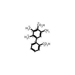 Cc1cc(-c2ccccc2C(=O)O)c(C)c(C)c1C(=O)O